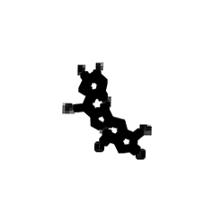 CC[C]1C(=O)Cc2c1cc1n(c2=O)Cc2c-1nc1cc(F)c(F)cc1c2C(C)C